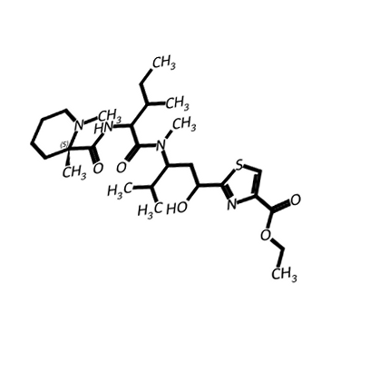 CCOC(=O)c1csc(C(O)CC(C(C)C)N(C)C(=O)C(NC(=O)[C@]2(C)CCCCN2C)C(C)CC)n1